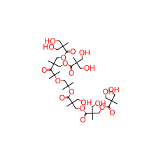 CC(C)(COC(C)(C)C(=O)C(C)(COC(=O)C(C)(CO)CO)COC(=O)C(C)(CO)CO)OC(=O)C(C)(CO)COC(=O)C(C)(CO)COC(=O)C(C)(CO)CO